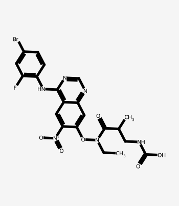 CCN(Oc1cc2ncnc(Nc3ccc(Br)cc3F)c2cc1[N+](=O)[O-])C(=O)C(C)CNC(=O)O